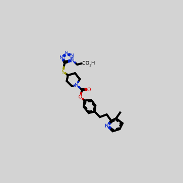 Cc1cccnc1CCc1ccc(OC(=O)N2CCC(Sc3nnnn3CC(=O)O)CC2)cc1